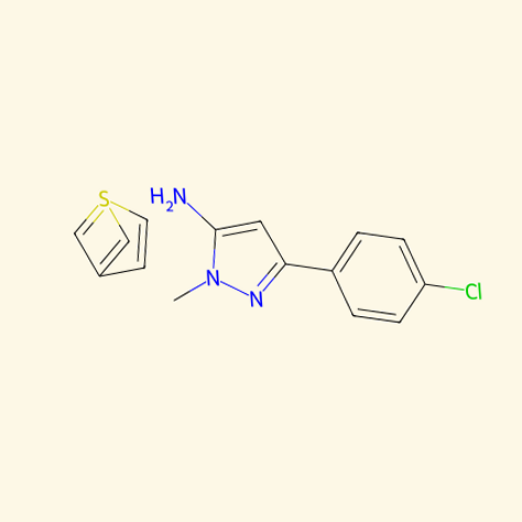 C1=CS2=CC1=C2.Cn1nc(-c2ccc(Cl)cc2)cc1N